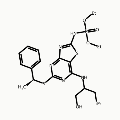 CCOP(=O)(Nc1nc2nc(S[C@@H](C)c3ccccc3)nc(NC(CO)CC(C)C)c2s1)OCC